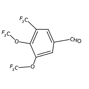 O=Cc1cc(OC(F)(F)F)c(OC(F)(F)F)c(C(F)(F)F)c1